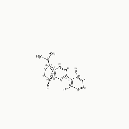 CC(O)[C@@]12CC=C[C@@H](CC1)c1cc(-c3c(F)cccc3F)nnc12